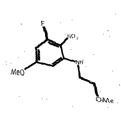 COCCNc1cc(OC)cc(F)c1[N+](=O)[O-]